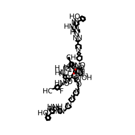 C#Cc1ccc(CNC(=O)[C@@H]2C[C@@H](O)CN2C(=O)C(c2cc(OCCN3CCC(N4CCC(N5CCC(CN6CCN7c8cc(-c9ccccc9O)nnc8NC[C@H]7C6)CC5)CC4)CC3)no2)C(C)CCC(C)(C)[C@H](NC(=O)[C@H]2CCC3(CC2)C[C@H](N2CCC(c4cnc(N5CCN6c7cc(-c8ccccc8O)nnc7NC[C@H]6C5)nc4)CC2)C3)C(=O)N2C[C@H](O)C[C@H]2C(=O)NCc2ncc(C#C)cc2OC)c(F)c1